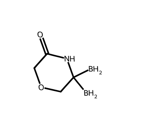 BC1(B)COCC(=O)N1